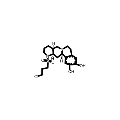 O=S(=O)(CCCCl)N1CCC[C@H]2CN3CCc4cc(O)c(O)cc4[C@@H]3C[C@H]21